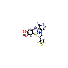 Nc1nccc2c1nc(Sc1cc3c(cc1I)OCO3)n2CCc1ccsc1